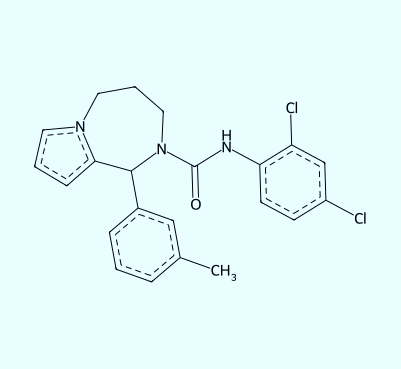 Cc1cccc(C2c3cccn3CCCN2C(=O)Nc2ccc(Cl)cc2Cl)c1